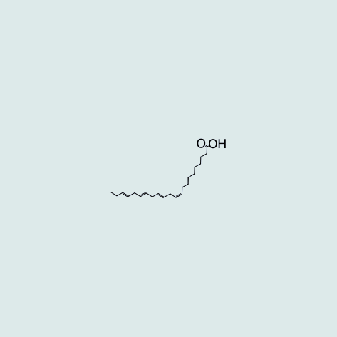 CC/C=C/C/C=C/C/C=C/C/C=C\C/C=C/CCCCCC(=O)O